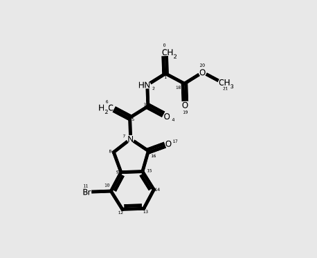 C=C(NC(=O)C(=C)N1Cc2c(Br)cccc2C1=O)C(=O)OC